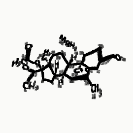 CC(=O)O[C@]1(C(C)=O)CC[C@H]2[C@@H]3C=C(C)C4=CC(=O)CC[C@]4(C)[C@H]3CC[C@@]21C.[MgH2]